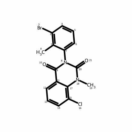 Cc1c(Br)cccc1-n1c(=O)c2cccc(Cl)c2n(C)c1=O